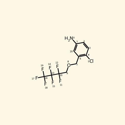 Nc1ccc(Cl)c(COCC(F)(F)C(F)(F)C(F)(F)F)c1